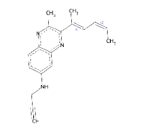 C#CCNc1ccc2nc(C)c(/C(C)=C/C=C\C)nc2c1